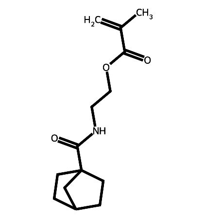 C=C(C)C(=O)OCCNC(=O)C12CCC(CC1)C2